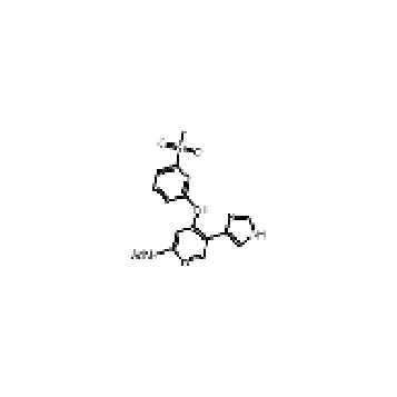 CC(=O)Nc1cc(Nc2cccc(S(C)(=O)=O)n2)c(-c2c[nH]cn2)cn1